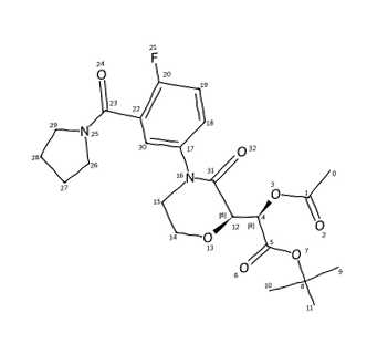 CC(=O)O[C@@H](C(=O)OC(C)(C)C)[C@H]1OCCN(c2ccc(F)c(C(=O)N3CCCC3)c2)C1=O